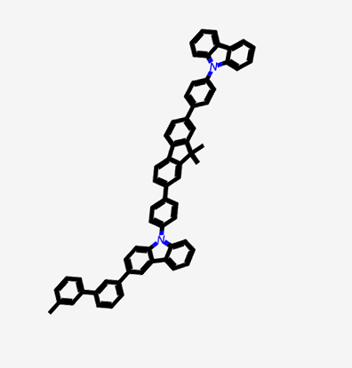 Cc1cccc(-c2cccc(-c3ccc4c(c3)c3ccccc3n4-c3ccc(-c4ccc5c(c4)C(C)(C)c4cc(-c6ccc(-n7c8ccccc8c8ccccc87)cc6)ccc4-5)cc3)c2)c1